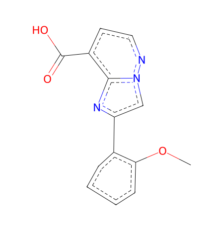 COc1ccccc1-c1cn2nccc(C(=O)O)c2n1